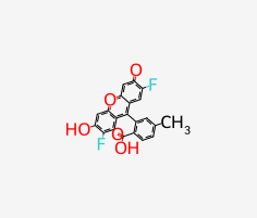 Cc1ccc(C(=O)O)c(-c2c3cc(F)c(=O)cc-3oc3cc(O)c(F)cc23)c1